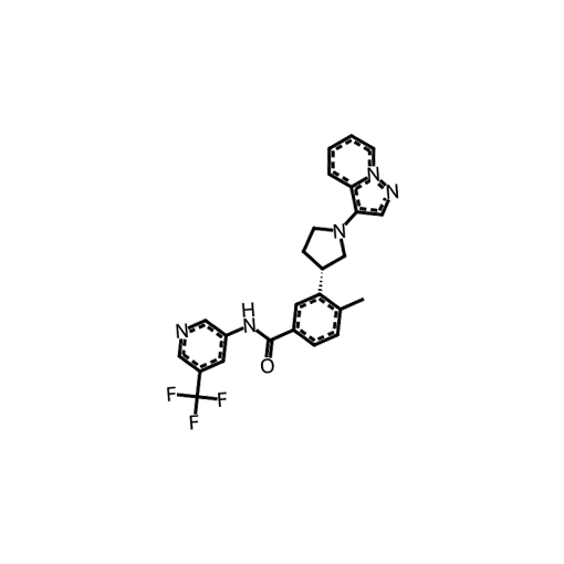 Cc1ccc(C(=O)Nc2cncc(C(F)(F)F)c2)cc1[C@@H]1CCN(c2cnn3ccccc23)C1